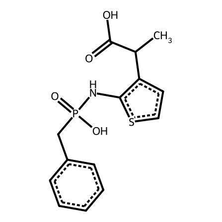 CC(C(=O)O)c1ccsc1NP(=O)(O)Cc1ccccc1